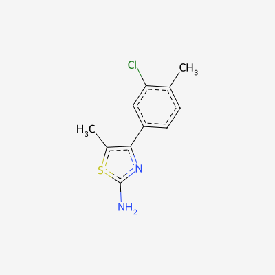 Cc1ccc(-c2nc(N)sc2C)cc1Cl